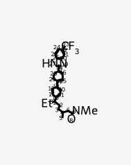 CCC(CCC(C)CC(=O)NC)c1ccc(C2=CC=C(c3nc4cc(C(F)(F)F)ccc4[nH]3)CC2)cc1